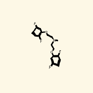 CN(CCOc1cc(F)ccc1F)CCOc1cc(F)ccc1F